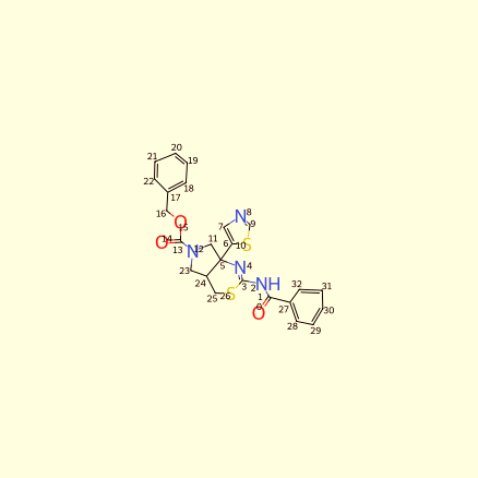 O=C(NC1=NC2(c3cncs3)CN(C(=O)OCc3ccccc3)CC2CS1)c1ccccc1